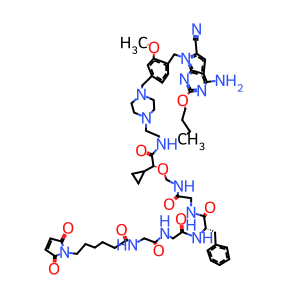 CCCCOc1nc(N)c2cc(C#N)n(Cc3ccc(CN4CCN(CCNC(=O)[C@H](OCNC(=O)CNC(=O)[C@H](Cc5ccccc5)NC(=O)CNC(=O)CNC(=O)CCCCCN5C(=O)C=CC5=O)C5CC5)CC4)cc3OC)c2n1